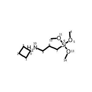 C1CCC1.CO[Si](CCCN)(OC)OC